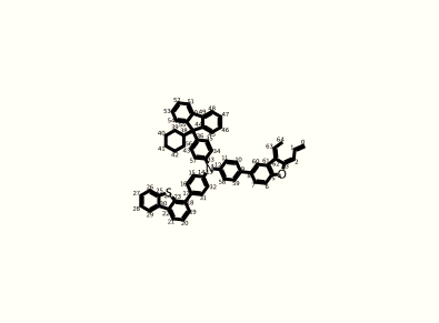 C=C/C=c1/oc2ccc(-c3ccc(N(c4ccc(-c5cccc6c5sc5ccccc56)cc4)c4ccc(C5(C6CCCCC6)c6ccccc6-c6ccccc65)cc4)cc3)cc2/c1=C/C